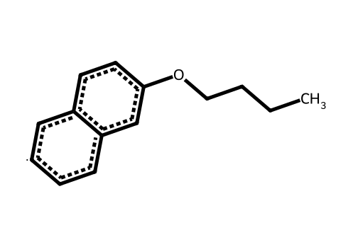 CCCCOc1ccc2c[c]ccc2c1